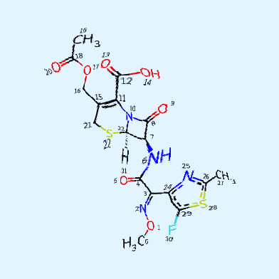 CO/N=C(/C(=O)N[C@@H]1C(=O)N2C(C(=O)O)=C(COC(C)=O)CS[C@H]12)c1nc(C)sc1F